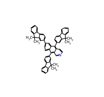 CC1(C)c2ccccc2-c2ccc(-c3ccc4c(-c5ccc6c(c5)C(C)(C)c5ccccc5-6)c5cnccc5c(-c5ccc6c(c5)C(C)(C)c5ccccc5-6)c4c3)cc21